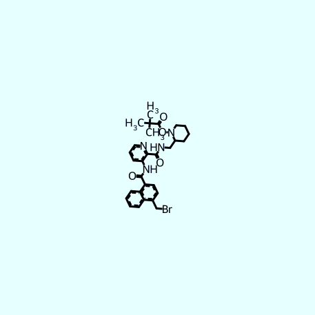 CC(C)(C)C(=O)ON1CCCCC1CNC(=O)c1ncccc1NC(=O)c1ccc(CBr)c2ccccc12